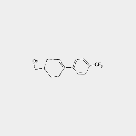 CCC(C)CC1CC=C(c2ccc(C(F)(F)F)cc2)CC1